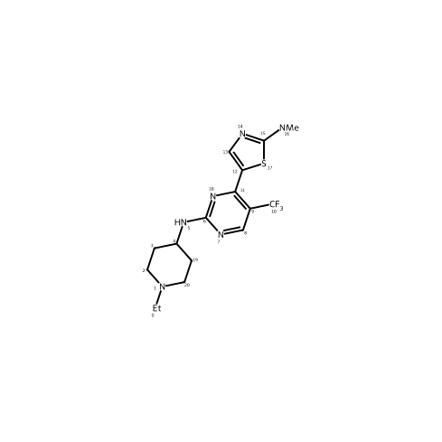 CCN1CCC(Nc2ncc(C(F)(F)F)c(-c3cnc(NC)s3)n2)CC1